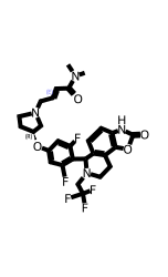 CN(C)C(=O)/C=C/CN1CC[C@@H](Oc2cc(F)c(C3c4ccc5[nH]c(=O)oc5c4CCN3CC(F)(F)F)c(F)c2)C1